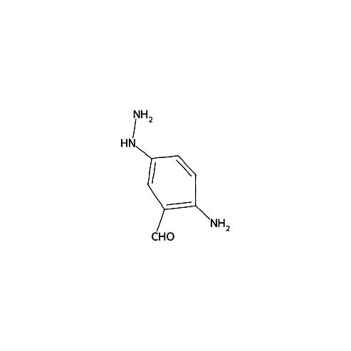 NNc1ccc(N)c(C=O)c1